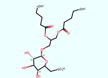 CCCCCCCCCCCCCC(=O)OCC(CO[C@H]1OC(CS(=O)(=O)O)[C@@H](O)C(O)[C@@H]1O)OC(=O)CCCCCCCCCCCCC